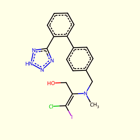 CN(Cc1ccc(-c2ccccc2-c2nn[nH]n2)cc1)/C(CO)=C(/Cl)I